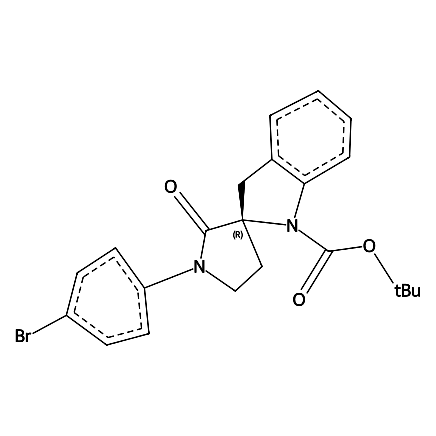 CC(C)(C)OC(=O)N1c2ccccc2C[C@]12CCN(c1ccc(Br)cc1)C2=O